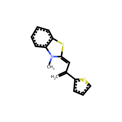 C=C(/C=C1/Sc2ccccc2N1C)c1cccs1